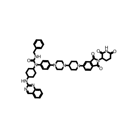 O=C1CCC(N2C(=O)c3ccc(N4CCC(N5CCN(c6ccc(N(C(=O)NCc7ccccc7)C7CCC(Nc8ncc9ccccc9n8)CC7)cc6)CC5)CC4)cc3C2=O)C(=O)N1